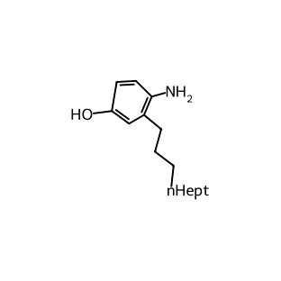 CCCCCCCCCCc1cc(O)ccc1N